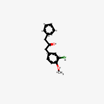 COc1ccc(CC(=O)Cc2ccccc2)cc1Br